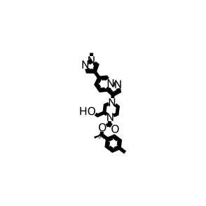 Cc1ccc([C@@H](C)OC(=O)N2CCN(c3cnn4cc(-c5cnn(C)c5)ccc34)CC2CO)cc1